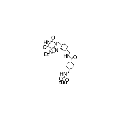 CCn1cnc2c1c(=O)[nH]c(=O)n2Cc1ccc(CNC(=O)[C@H]2CC[C@H](CNC(=O)OC(C)(C)C)CC2)cc1